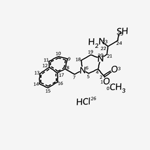 COC(=O)C1CN(Cc2cccc3ccccc23)CCN1CC(N)CS.Cl